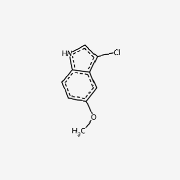 COc1ccc2[nH]cc(Cl)c2c1